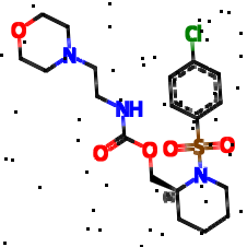 O=C(NCCN1CCOCC1)OC[C@@H]1CCCCN1S(=O)(=O)c1ccc(Cl)cc1